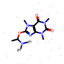 CC(C)N(C(C)C)C(C)Oc1nc2c(c(=O)n(C)c(=O)n2C)n1C